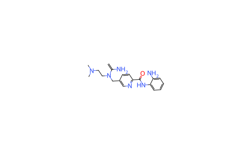 C=C(N)N(CCN(C)C)Cc1ccc(C(=O)Nc2ccccc2N)nc1